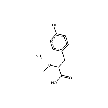 COC(Cc1ccc(O)cc1)C(=O)O.N